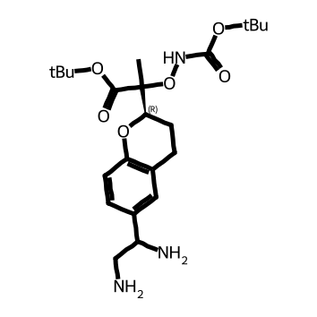 CC(C)(C)OC(=O)NOC(C)(C(=O)OC(C)(C)C)[C@H]1CCc2cc(C(N)CN)ccc2O1